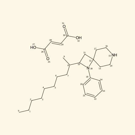 CCCCCCCCC(C)C1CC2(CCNCC2)N1c1ccccc1.O=C(O)/C=C/C(=O)O